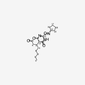 CCCCCC1CC(=O)Oc2nc(ON=C3CCCC3)[nH]c(=O)c21